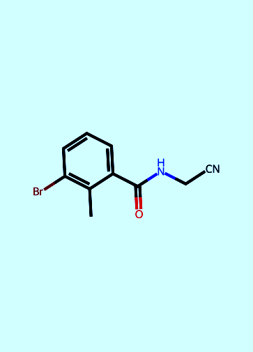 Cc1c(Br)cccc1C(=O)NCC#N